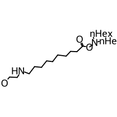 CCCCCCN(CCCCCC)OC(=O)CCCCCCCCCNCCO